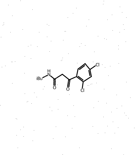 CCC(C)NC(=O)CC(=O)c1ccc(Cl)cc1Cl